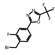 Fc1cc(-c2nnc(C(F)(F)F)o2)ccc1CBr